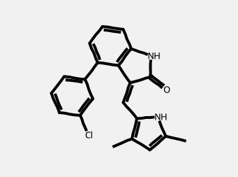 Cc1cc(C)c(C=C2C(=O)Nc3cccc(-c4cccc(Cl)c4)c32)[nH]1